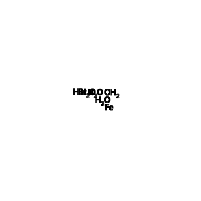 Br.O.O.O.O.[Fe]